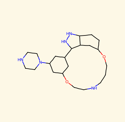 C1CNCCOC2CC(CC(N3CCNCC3)C2)C2NNC3CCC(CC32)OC1